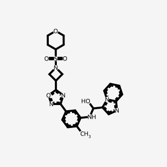 Cc1ccc(-c2noc(C3CN(S(=O)(=O)C4CCOCC4)C3)n2)cc1NC(O)c1cnc2ccccn12